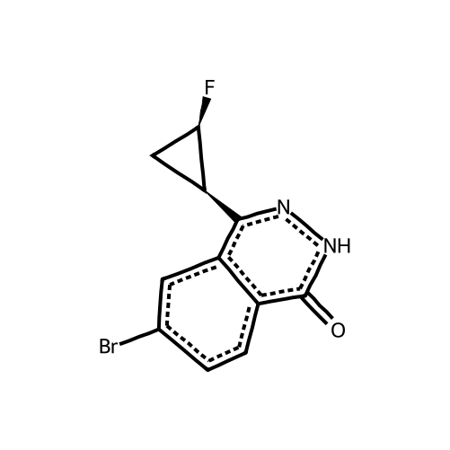 O=c1[nH]nc([C@H]2C[C@H]2F)c2cc(Br)ccc12